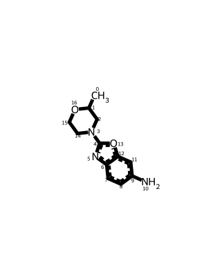 CC1CN(c2nc3ccc(N)cc3o2)CCO1